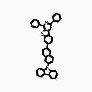 c1ccc(-c2nc(-c3ccccc3)c3sc4cc(-c5ccc6cc(-n7c8ccccc8c8ccccc87)ccc6c5)ccc4c3n2)cc1